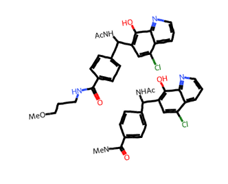 CNC(=O)c1ccc(C(NC(C)=O)c2cc(Cl)c3cccnc3c2O)cc1.COCCCNC(=O)c1ccc(C(NC(C)=O)c2cc(Cl)c3cccnc3c2O)cc1